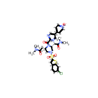 CN(C)C(=O)C[C@@H]1CN(S(=O)(=O)c2cc3ccc(Cl)cc3s2)C[C@H](CC(=O)N(C)C)N1C(=O)c1ncc(-c2cc[n+]([O-])cc2)cn1